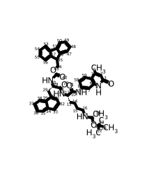 Cc1cc(=O)[nH]c2cc(NC(=O)[C@H](CCCCNC(=O)OC(C)(C)C)NC(=O)[C@H](Cc3cccc4ccccc34)NC(=O)OCC3c4ccccc4-c4ccccc43)ccc12